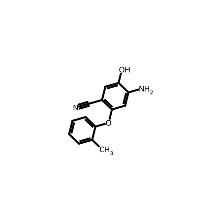 Cc1ccccc1Oc1cc(N)c(O)cc1C#N